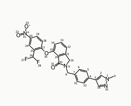 Cn1cc(-c2ccc(CN3Cc4cccc(Oc5ccc([N+](=O)[O-])cc5C(F)F)c4C3=O)cc2)cn1